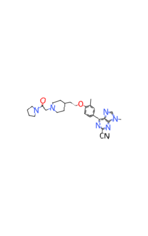 Cc1cc(-c2nc(C#N)nc3c2ncn3C)ccc1OCCC1CCN(CC(=O)N2CCCC2)CC1